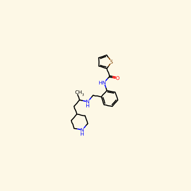 CC(CC1CCNCC1)NCc1ccccc1NC(=O)c1cccs1